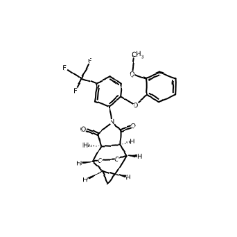 COc1ccccc1Oc1ccc(C(F)(F)F)cc1N1C(=O)[C@@H]2[C@@H]3CC[C@@H]([C@@H]4C[C@@H]43)[C@@H]2C1=O